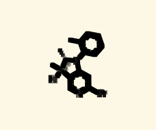 CC[N+]1(C)c2cnc(C(C)C)cc2N(c2ccccc2C)[C@H]1C